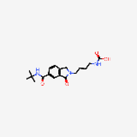 CC(C)(C)NC(=O)c1ccc2c(c1)C(=O)N(CCCCNC(=O)O)C2